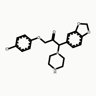 O=C(COc1ccc(Cl)cc1)C(c1ccc2c(c1)OCO2)N1CCNCC1